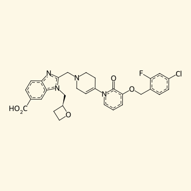 O=C(O)c1ccc2nc(CN3CC=C(n4cccc(OCc5ccc(Cl)cc5F)c4=O)CC3)n(C[C@@H]3CCO3)c2c1